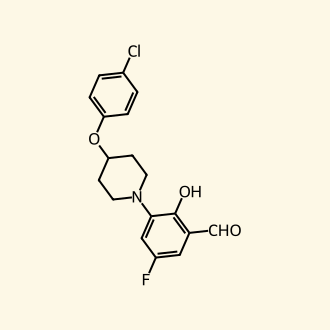 O=Cc1cc(F)cc(N2CCC(Oc3ccc(Cl)cc3)CC2)c1O